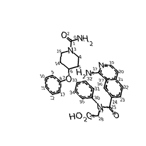 NC(=O)N1CCC(Oc2ccccc2)CC1.Nc1nccc2ccc(C(=O)N(CC(=O)O)c3ccccc3)cc12